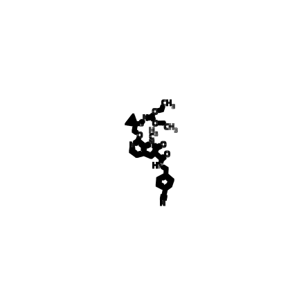 CCOC(=NSC1(COc2nccc3cc(C(=O)NCc4ccc(C#N)cc4)c(=O)n(C)c23)CC1)OCC